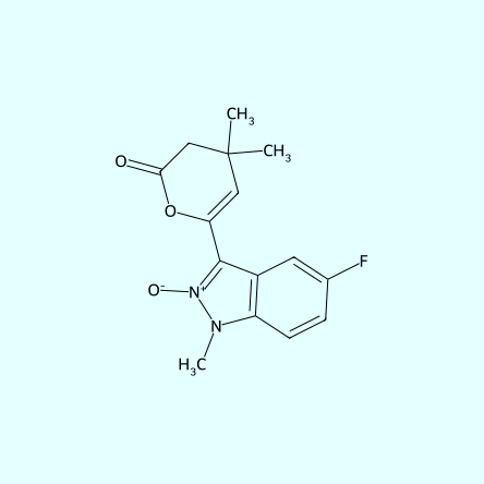 Cn1c2ccc(F)cc2c(C2=CC(C)(C)CC(=O)O2)[n+]1[O-]